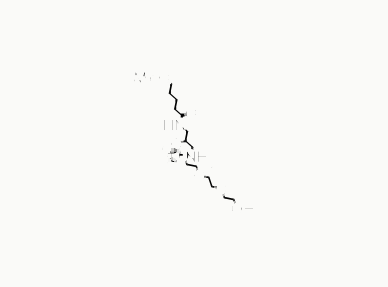 COCCCCC(=O)NCC(CN)OP(=O)(S)OCCOCCOCCO